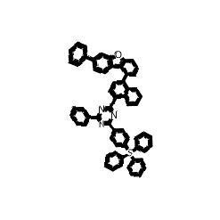 c1ccc(-c2ccc3c(c2)oc2cccc(-c4ccc(-c5nc(-c6ccccc6)nc(-c6ccc(S(c7ccccc7)(c7ccccc7)c7ccccc7)cc6)n5)c5ccccc45)c23)cc1